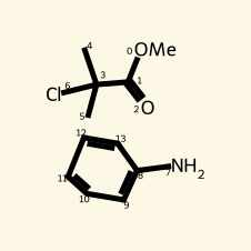 COC(=O)C(C)(C)Cl.Nc1ccccc1